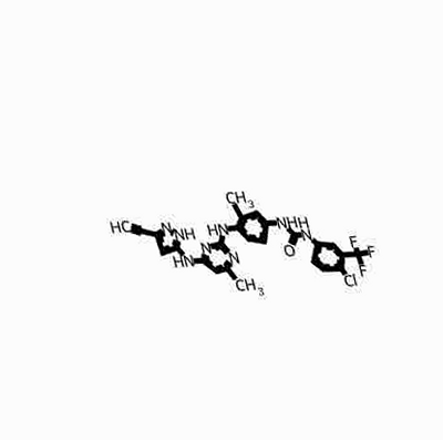 C#Cc1cc(Nc2cc(C)nc(Nc3ccc(NC(=O)Nc4ccc(Cl)c(C(F)(F)F)c4)cc3C)n2)[nH]n1